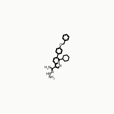 NN/N=C(\N)c1cnn2c(C3CCCCC3)c(-c3ccc(OCc4ccccc4)cc3)ccc12